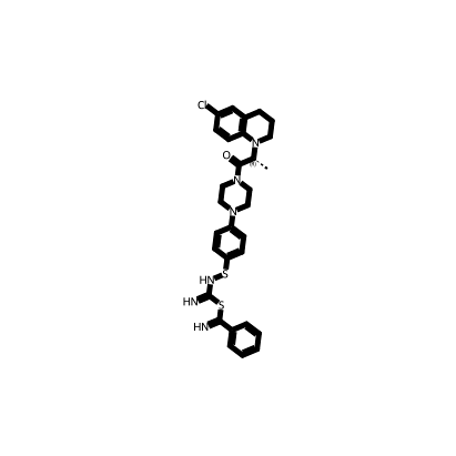 C[C@H](C(=O)N1CCN(c2ccc(SNC(=N)SC(=N)c3ccccc3)cc2)CC1)N1CCCc2cc(Cl)ccc21